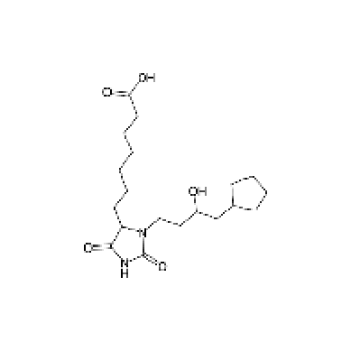 O=C(O)CCCCCCC1C(=O)NC(=O)N1CCC(O)CC1CCCC1